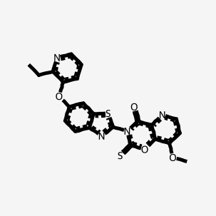 CCc1ncccc1Oc1ccc2nc(-n3c(=S)oc4c(OC)ccnc4c3=O)sc2c1